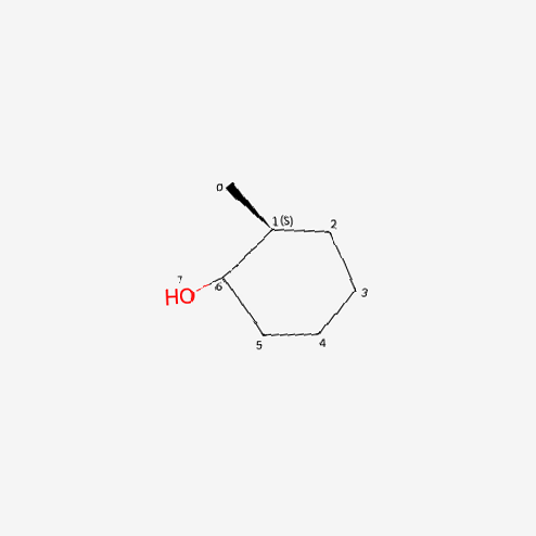 C[C@H]1CCCCC1O